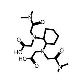 CN(C)C(=O)CN(CC(=O)O)C1CCCCC1N(CC(=O)O)CC(=O)N(C)C